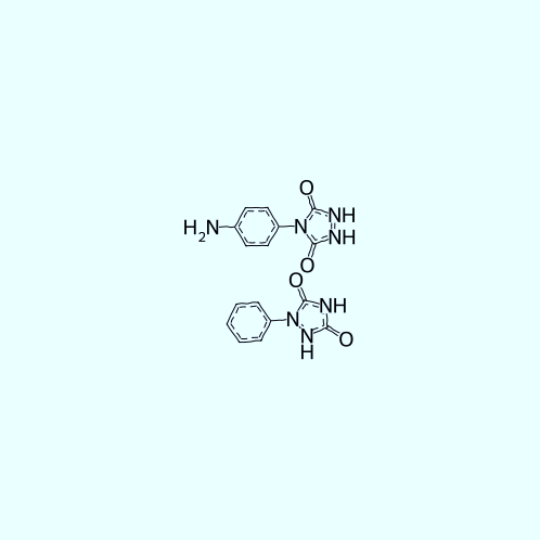 Nc1ccc(-n2c(=O)[nH][nH]c2=O)cc1.O=c1[nH]c(=O)n(-c2ccccc2)[nH]1